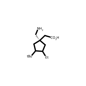 CCC1C[C@](CN)(CC(=O)O)CC1C(C)(C)C